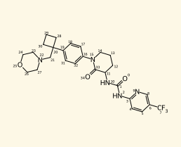 O=C(Nc1ccc(C(F)(F)F)cn1)NC1CCCN(c2ccc(C3(CN4CCOCC4)CCC3)cc2)C1=O